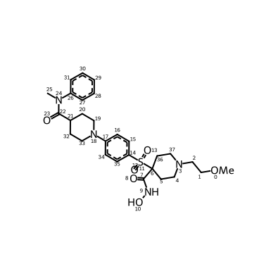 COCCN1CCC(C(=O)NO)(S(=O)(=O)c2ccc(N3CCC(C(=O)N(C)c4ccccc4)CC3)cc2)CC1